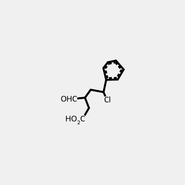 O=CC(CC(=O)O)CC(Cl)c1ccccc1